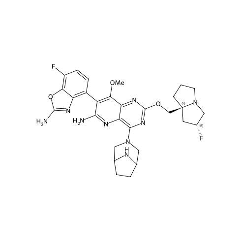 COc1c(-c2ccc(F)c3oc(N)nc23)c(N)nc2c(N3CC4CCC(C3)N4)nc(OC[C@@]34CCCN3C[C@H](F)C4)nc12